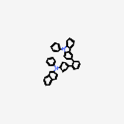 c1ccc(N(c2ccc(-c3ccccc3-c3ccc4c(c3)c3ccccc3n4-c3ccccc3)cc2)c2ccc3ccccc3c2)cc1